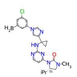 Bc1cc(Cl)cc(-n2cnc(C3(Nc4nccc(N5C(=O)N(C)C[C@@H]5C(C)C)n4)CC3)c2)c1